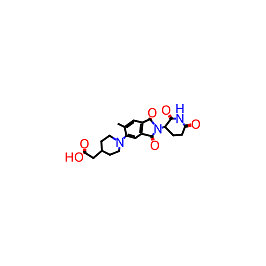 Cc1cc2c(cc1N1CCC(CC(=O)O)CC1)C(=O)N(C1CCC(=O)NC1=O)C2=O